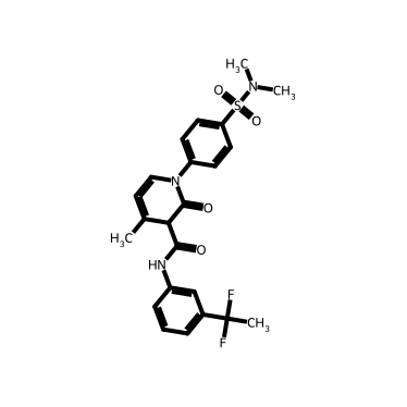 CC1=C=CN(c2ccc(S(=O)(=O)N(C)C)cc2)C(=O)C1C(=O)Nc1cccc(C(C)(F)F)c1